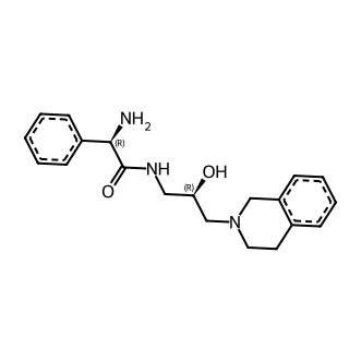 N[C@@H](C(=O)NC[C@@H](O)CN1CCc2ccccc2C1)c1ccccc1